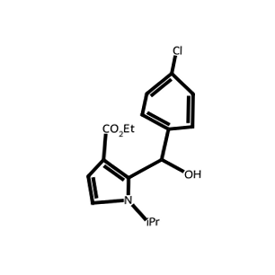 CCOC(=O)c1ccn(C(C)C)c1C(O)c1ccc(Cl)cc1